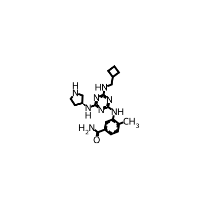 Cc1ccc(C(N)=O)cc1Nc1nc(NCC2CCC2)nc(N[C@H]2CCNC2)n1